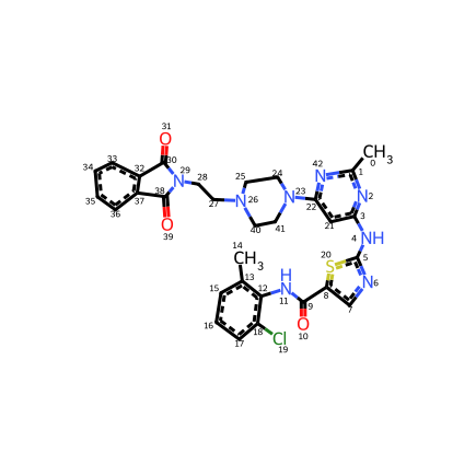 Cc1nc(Nc2ncc(C(=O)Nc3c(C)cccc3Cl)s2)cc(N2CCN(CCN3C(=O)c4ccccc4C3=O)CC2)n1